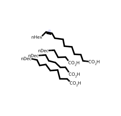 CCCCCC/C=C\CCCCCCCC(=O)O.CCCCCCCCCCCCCC(=O)O.CCCCCCCCCCCCCCCC(=O)O.CCCCCCCCCCCCCCCCCC(=O)O